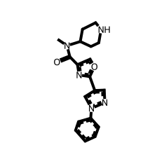 CN(C(=O)c1coc(-c2cnn(-c3ccccc3)c2)n1)C1CCNCC1